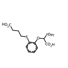 CCCCCCCCCCC(Oc1ccccc1SCCCC(=O)O)C(=O)O